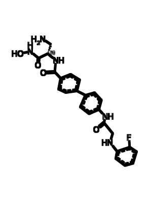 NC[C@H](NC(=O)c1ccc(-c2ccc(NC(=O)CNc3ccccc3F)cc2)cc1)C(=O)NO